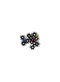 c1ccc(-c2c3ccccc3c(-c3ccc4sc5cccc(-c6c7ccccc7c(-c7ccc8c9ccccc9n(-c9ccccc9)c8c7)c7ccccc67)c5c4c3)c3ccccc23)cc1